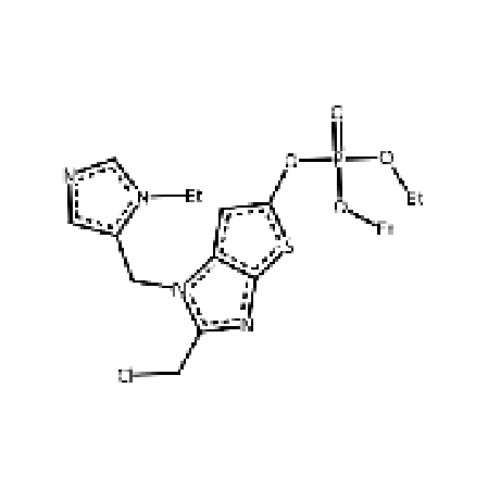 CCOP(=O)(OCC)Oc1cc2c(nc(CCl)n2Cc2cncn2CC)s1